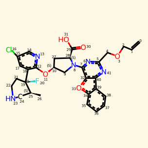 C=CCOCc1nc(N2C[C@@H](Oc3ncc(Cl)cc3[C@@]3(F)CCNC[C@@H]3C)C[C@H]2C(=O)O)c2oc3ccccc3c2n1